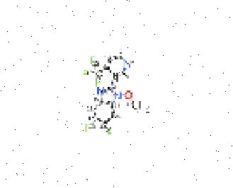 COn1c(-c2cnccc2C(F)(F)F)nc2cc(F)c(F)cc21